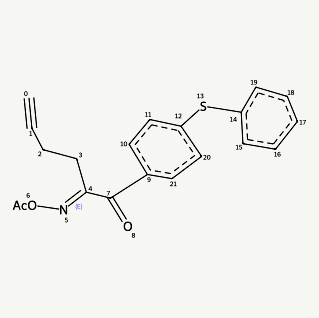 C#CCC/C(=N\OC(C)=O)C(=O)c1ccc(Sc2ccccc2)cc1